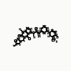 Cc1cc(Cn2c(=O)c3c(ncn3C(C)C(=O)Nc3cncc(-c4cnc(C)c(C(F)(F)F)c4)n3)n(C)c2=O)no1